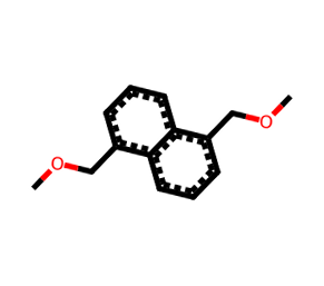 COCc1cccc2c(COC)cccc12